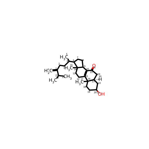 C=C(CCC(C)C1CCC2C3=C(CCC21C)C1(C)CCC(O)C[C@@H]1CC3=O)C(C)C